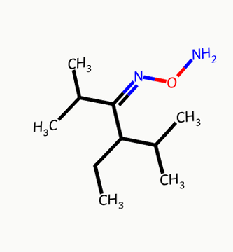 CCC(/C(=N\ON)C(C)C)C(C)C